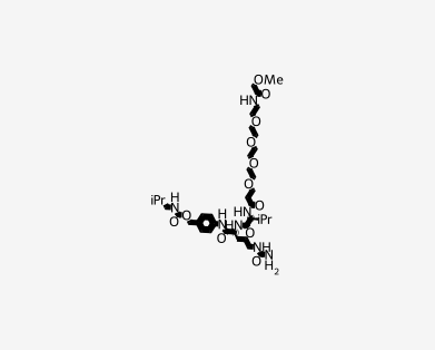 COCC(=O)NCCOCCOCCOCCOCCC(=O)N[C@H](C(=O)N[C@@H](CCCNC(N)=O)C(=O)Nc1ccc(COC(=O)NCC(C)C)cc1)C(C)C